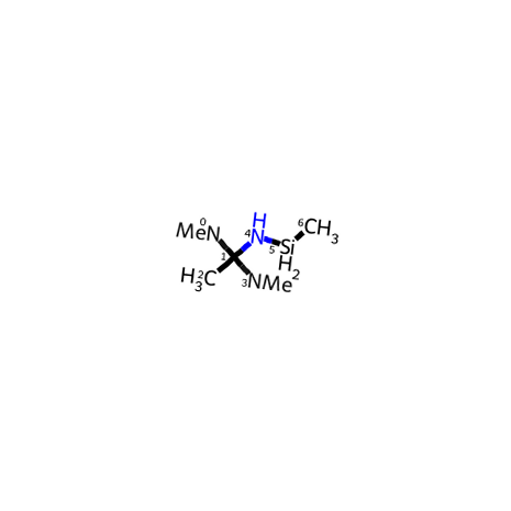 CNC(C)(NC)N[SiH2]C